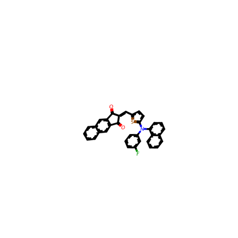 O=C1C(=Cc2ccc(N(c3cccc(F)c3)c3cccc4ccccc34)s2)C(=O)c2cc3ccccc3cc21